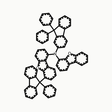 c1ccc(C2(c3ccccc3)c3ccccc3-c3ccc(N(c4cccc5c4oc4ccccc45)c4cccc5oc6c(C7(c8ccccc8)c8ccccc8-c8ccccc87)cccc6c45)cc32)cc1